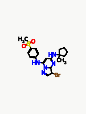 CC1(NC2=NC3C(Br)C=NN3C(Nc3ccc(S(C)(=O)=O)cc3)=C2)CCCC1